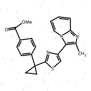 COC(=O)c1ccc(C2(c3nc(-c4c(C)nc5ccccn45)cs3)CC2)cc1